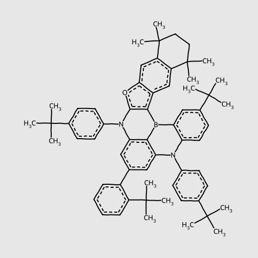 CC(C)(C)c1ccc(N2c3ccc(C(C)(C)C)cc3B3c4c2cc(-c2ccccc2C(C)(C)C)cc4N(c2ccc(C(C)(C)C)cc2)c2oc4cc5c(cc4c23)C(C)(C)CCC5(C)C)cc1